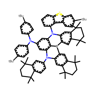 CC(C)(C)c1ccc(N(c2ccc(C(C)(C)C)cc2)c2cc3c4c(c2)N(c2cccc5sc6cc(C(C)(C)C)ccc6c25)c2cc5c(cc2B4c2cc4c(cc2N3c2ccc3c(c2)C(C)(C)CCC3(C)C)C(C)(C)CCC4(C)C)C(C)(C)CCC5(C)C)cc1